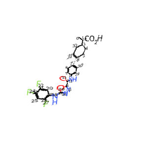 C[C@H](C(=O)O)[C@H]1CC[C@H](c2ccc(NC(=O)c3nnc(Nc4cc(F)c(F)cc4F)o3)cc2)CC1